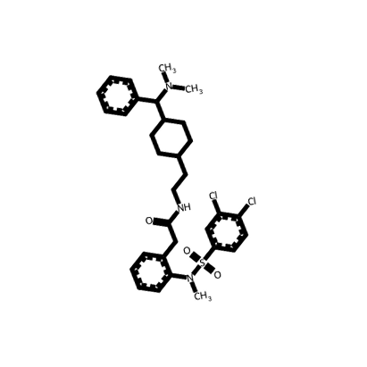 CN(C)C(c1ccccc1)C1CCC(CCNC(=O)Cc2ccccc2N(C)S(=O)(=O)c2ccc(Cl)c(Cl)c2)CC1